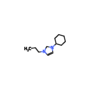 CCCN1C=CN(C2CCCCC2)C1